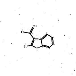 CCc1oc2ccccc2c1C(=O)Cl